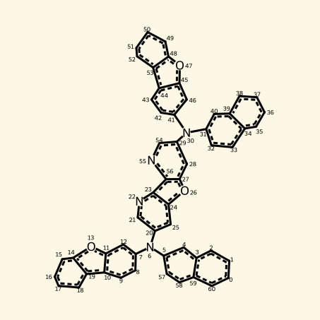 c1ccc2cc(N(c3ccc4c(c3)oc3ccccc34)c3cnc4c(c3)oc3cc(N(c5ccc6ccccc6c5)c5ccc6c(c5)oc5ccccc56)cnc34)ccc2c1